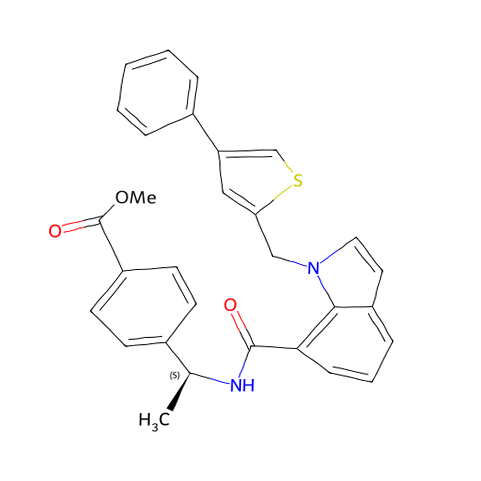 COC(=O)c1ccc([C@H](C)NC(=O)c2cccc3ccn(Cc4cc(-c5ccccc5)cs4)c23)cc1